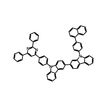 c1ccc(-c2cc(-c3ccc(-n4c5ccccc5c5cc(-c6ccc7c8ccccc8n(-c8ccc(-c9cccc%10ccccc9%10)cc8)c7c6)ccc54)cc3)nc(-c3ccccc3)n2)cc1